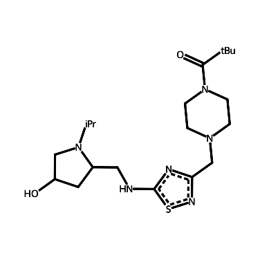 CC(C)N1CC(O)CC1CNc1nc(CN2CCN(C(=O)C(C)(C)C)CC2)ns1